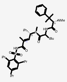 CN[C@H](C(=O)NC(C(=O)N(C)[C@H](/C=C(\C)C(=O)NS(=O)(=O)c1c(C(C)C)cc(C(C)C)cc1C(C)C)C(C)C)C(C)(C)C)C(C)(C)c1ccccc1